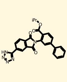 CC(C)OC(=O)c1ccc(-c2ccccc2)cc1N1C(=O)c2ccc(-c3nnn[nH]3)cc2C1=O